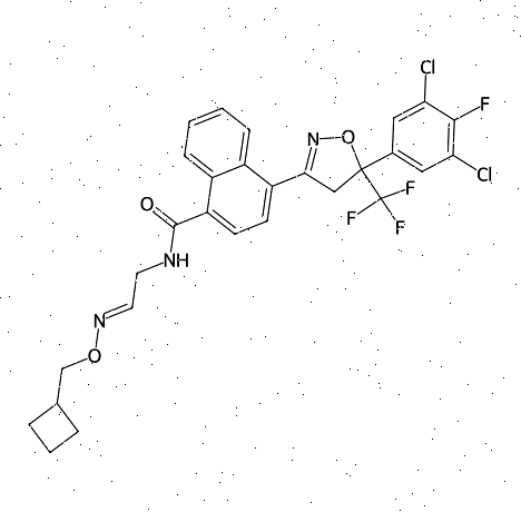 O=C(NCC=NOCC1CCC1)c1ccc(C2=NOC(c3cc(Cl)c(F)c(Cl)c3)(C(F)(F)F)C2)c2ccccc12